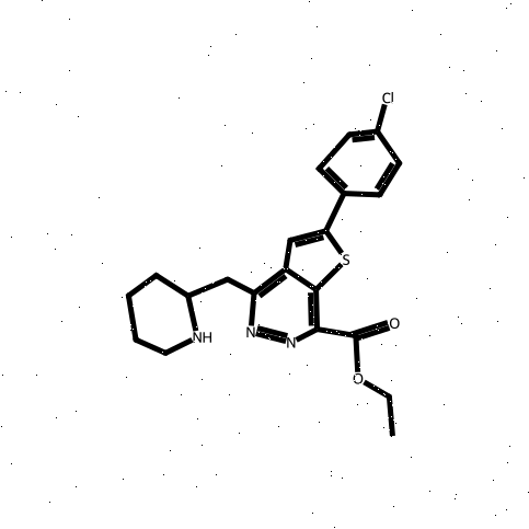 CCOC(=O)c1nnc(CC2CCCCN2)c2cc(-c3ccc(Cl)cc3)sc12